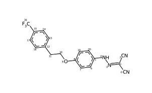 N#CC(C#N)=NNc1ccc(OCCc2ccc(C(F)(F)F)cc2)cc1